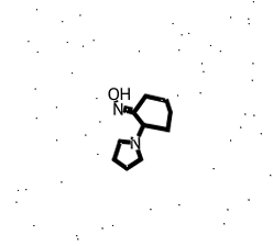 O/N=C1\CCCCC1N1CCCC1